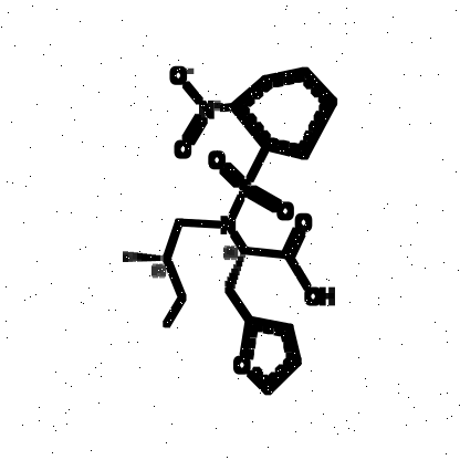 CC[C@H](C)CN([C@@H](Cc1ccco1)C(=O)O)S(=O)(=O)c1ccccc1[N+](=O)[O-]